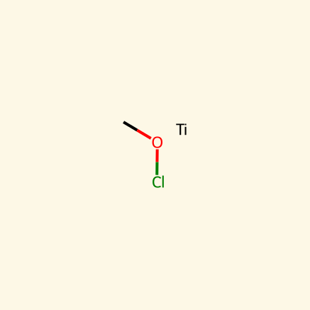 COCl.[Ti]